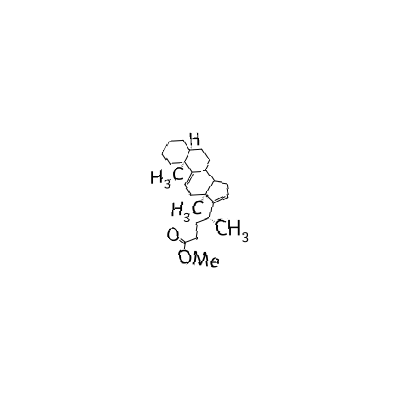 COC(=O)CC[C@@H](C)C1=CCC2C3CC[C@@H]4CCCC[C@]4(C)C3=CC[C@]12C